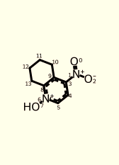 O=[N+]([O-])c1cc[n+](O)c2c1CCCC2